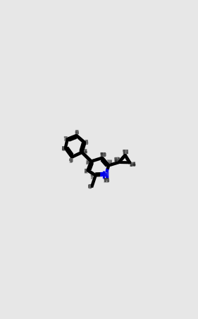 Cc1cc(-c2ccccc2)cc(C2CC2)n1